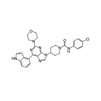 O=C(Nc1ccc(Cl)cc1)N1CCC(n2cnc3c(-c4cccc5[nH]ccc45)nc(N4CCOCC4)nc32)CC1